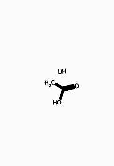 [CH2]C(=O)O.[LiH]